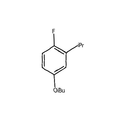 CC(C)COc1ccc(F)c(C(C)C)c1